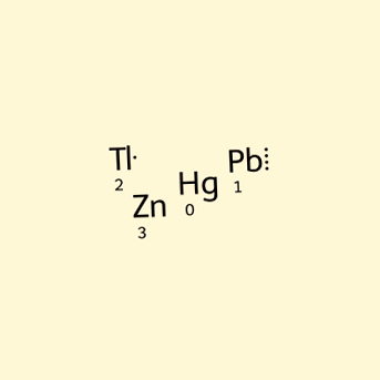 [Hg].[Pb].[Tl].[Zn]